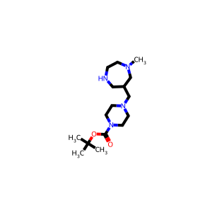 CN1CCNCC(CN2CCN(C(=O)OC(C)(C)C)CC2)C1